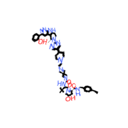 C#Cc1ccc(CNC(=O)[C@@H]2C[C@@H](O)CN2C(=O)[C@@H](NC(=O)N2CC3(CN(CCN4CCC(c5cnc(N6CCc7[nH]c8nnc(-c9ccccc9O)cc8c7[C@H]6C)nc5)CC4)C3)C2)C(C)(C)C)cc1